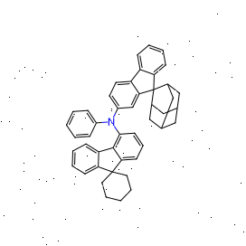 c1ccc(N(c2ccc3c(c2)C2(c4ccccc4-3)C3CC4CC(C3)CC2C4)c2cccc3c2-c2ccccc2C32CCCCC2)cc1